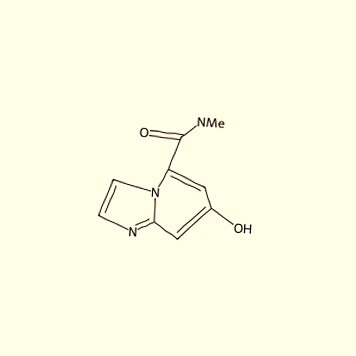 CNC(=O)c1cc(O)cc2nccn12